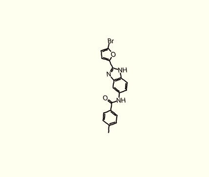 Cc1ccc(C(=O)Nc2ccc3[nH]c(-c4ccc(Br)o4)nc3c2)cc1